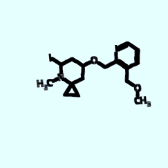 COCC1=C(COC2CC(I)N(C)C3(CC3)C2)I=CC=C1